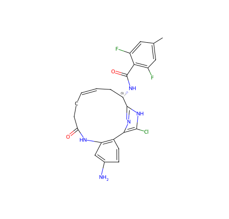 Cc1cc(F)c(C(=O)N[C@H]2CC=CCCC(=O)Nc3cc(N)ccc3-c3nc2[nH]c3Cl)c(F)c1